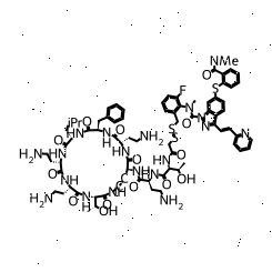 CNC(=O)c1ccccc1Sc1ccc2c(/C=C/c3ccccn3)nn(C(=O)N(C)c3c(F)cccc3CSSCC(=O)N[C@H](C(=O)N[C@@H](CCN)C(=O)N[C@H]3CCNC(=O)[C@H]([C@@H](C)O)NC(=O)[C@H](CCN)NC(=O)[C@H](CCN)NC(=O)[C@H](CC(C)C)NC(=O)[C@@H](Cc4ccccc4)NC(=O)[C@H](CCN)NC3=O)[C@@H](C)O)c2c1